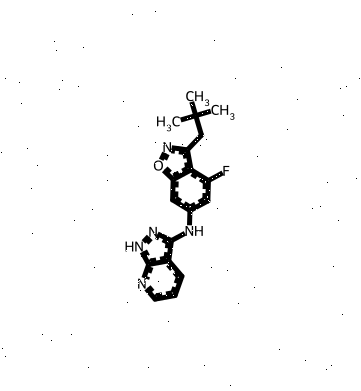 CC(C)(C)Cc1noc2cc(Nc3n[nH]c4ncccc34)cc(F)c12